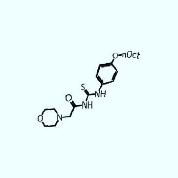 CCCCCCCCOc1ccc(NC(=S)NC(=O)CN2CCOCC2)cc1